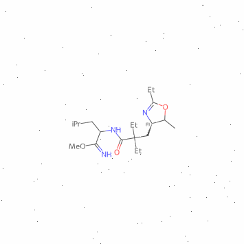 CCC1=N[C@H](CC(CC)(CC)C(=O)NC(CC(C)C)C(=N)OC)C(C)O1